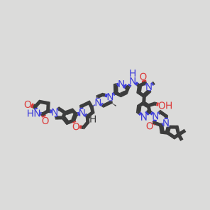 C[C@@H]1CN([C@H]2CCN3c4cc5c(cc4OCC[C@H]3C2)CN(C2CCC(=O)NC2=O)C5)CCN1c1ccc(Nc2cc(-c3ccnc(N4CCn5c(cc6c5CC(C)(C)C6)C4=O)c3CO)cn(C)c2=O)nc1